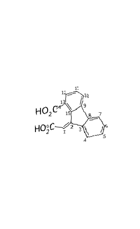 O=C(O)C=C1c2ccccc2-c2cccc(C(=O)O)c21